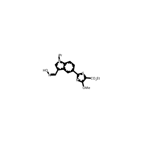 CCOC(=O)c1sc(-c2ccc3c(c2)c(/C=N\O)cn3C(C)C)nc1OC